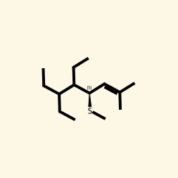 CCC(CC)C(CC)[C@@H](C=C(C)C)SC